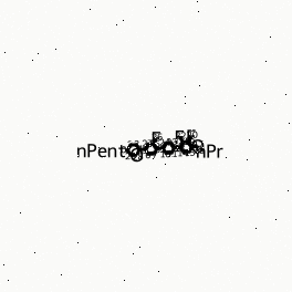 CCCCCC1CCC(c2ccc(-c3ccc(-c4ccc(OCCC)c(F)c4F)cc3)c(F)c2)OC1